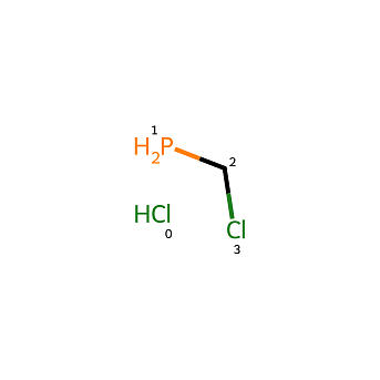 Cl.PCCl